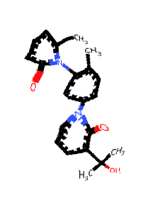 Cc1ccc(-n2cccc(C(C)(C)O)c2=O)cc1-n1c(C)cccc1=O